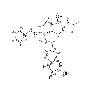 CC(C)N[C@@H]1CCc2c(ccc(OCc3ccccc3)c2N(C)Cc2ccccc2)[C@H]1O.O=C(O)C(=O)O